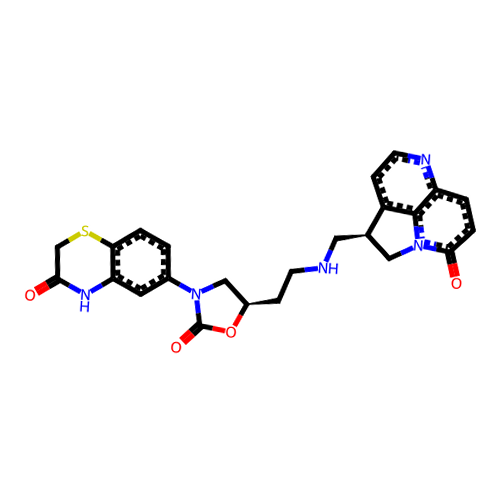 O=C1CSc2ccc(N3C[C@@H](CCNC[C@@H]4Cn5c(=O)ccc6nccc4c65)OC3=O)cc2N1